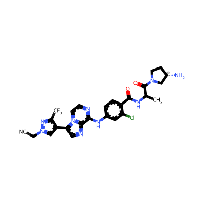 CC(NC(=O)c1ccc(Nc2nccn3c(-c4cn(CC#N)nc4C(F)(F)F)cnc23)cc1Cl)C(=O)N1CC[C@H](N)C1